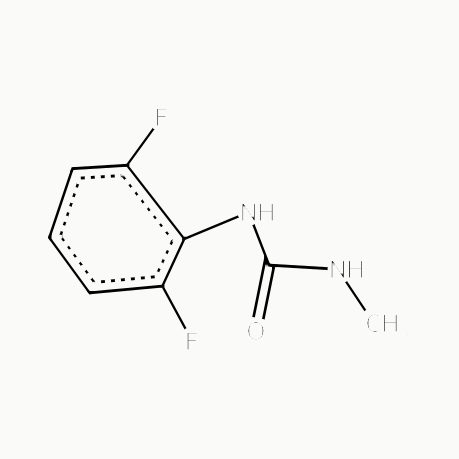 CNC(=O)Nc1c(F)cccc1F